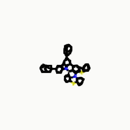 c1ccc2c(c1)Sc1cccc3c1N2c1c2c(cc4c1sc1ccccc14)-c1cc(C45CC6CC(CC(C6)C4)C5)cc4c5cc(C67CC8CC(CC(C8)C6)C7)ccc5n(c14)B32